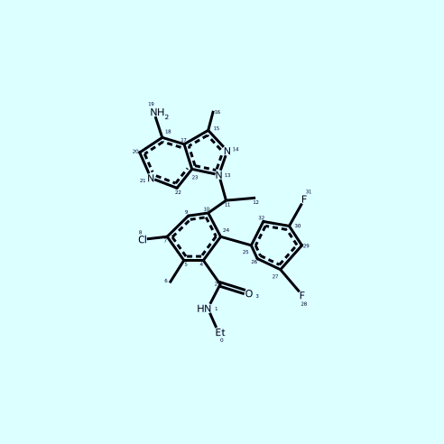 CCNC(=O)c1c(C)c(Cl)cc(C(C)n2nc(C)c3c(N)cncc32)c1-c1cc(F)cc(F)c1